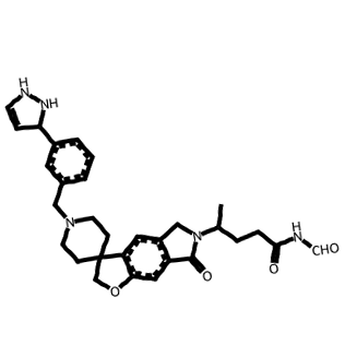 CC(CCC(=O)NC=O)N1Cc2cc3c(cc2C1=O)OCC31CCN(Cc2cccc(C3C=CNN3)c2)CC1